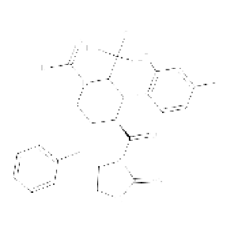 CC(C)(C)C1[C@H](c2ccc(F)cc2F)[C@@H](C(=O)N2C(=O)OC[C@@H]2Cc2ccccc2)CCN1C(=O)O